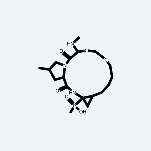 CNC1CCCCCCCC2CC2(P(C)(=O)O)NC(=O)C2CC(C)CN2C1=O